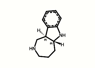 c1ccc2c(c1)N[C@@H]1CCCNC[C@@H]21